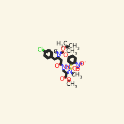 COC(=O)C(CNC(=O)CC(Cc1ccc(Cl)cc1)N(C)C(=O)OC(C)(C)C)N(C)S(=O)(=O)c1ccccc1[N+](=O)[O-]